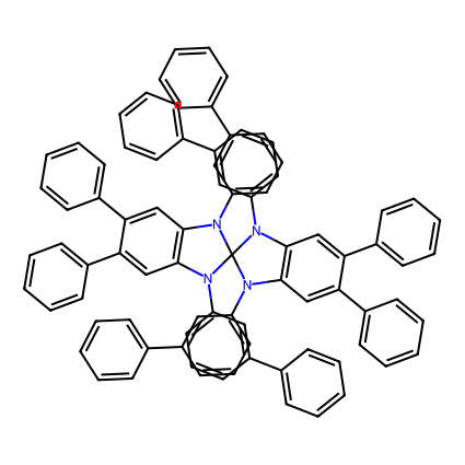 c1ccc(-c2cccc(N3c4cc(-c5ccccc5)c(-c5ccccc5)cc4N(c4cccc(-c5ccccc5)c4)C34N(c3cccc(-c5ccccc5)c3)c3cc(-c5ccccc5)c(-c5ccccc5)cc3N4c3cccc(-c4ccccc4)c3)c2)cc1